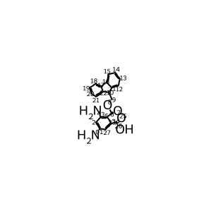 Nc1cc(N)c(C(=O)OCC2c3ccccc3-c3ccccc32)c(C(=O)O)c1